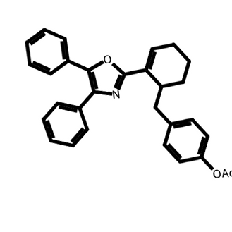 CC(=O)Oc1ccc(CC2CCCC=C2c2nc(-c3ccccc3)c(-c3ccccc3)o2)cc1